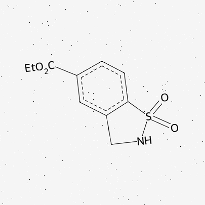 CCOC(=O)c1ccc2c(c1)CNS2(=O)=O